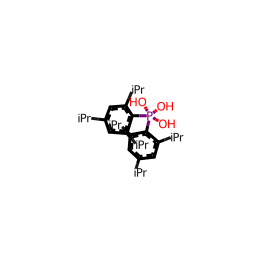 CC(C)c1cc(C(C)C)c(P(O)(O)(O)c2c(C(C)C)cc(C(C)C)cc2C(C)C)c(C(C)C)c1